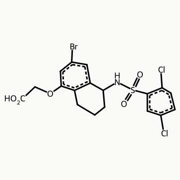 O=C(O)COc1cc(Br)cc2c1CCCC2NS(=O)(=O)c1cc(Cl)ccc1Cl